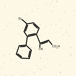 CCc1ccc(C(C#N)=CC(=O)O)c(-c2ccccc2)c1